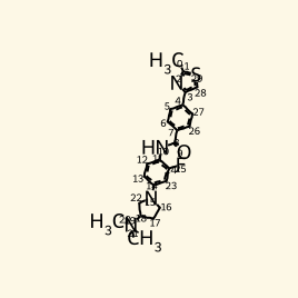 Cc1nc(-c2ccc(C(=O)Nc3ccc(N4CCC(N(C)C)C4)cc3F)cc2)cs1